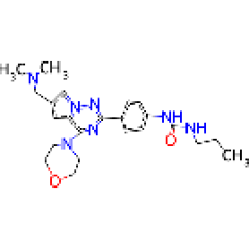 CCCNC(=O)Nc1ccc(-c2nc(N3CCOCC3)c3cc(CN(C)C)cn3n2)cc1